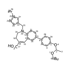 CCCCOC(C)Oc1ccc(-c2ccc3c(c2)C=C(C(=O)O)CCN3Cc2cnn(C(C)C)c2)cc1